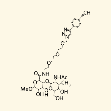 C#Cc1ccc(-c2cn(COCCOCCOCCNC(=O)C3OC(OC)C(O)C(O)C3OC3OC(CO)C(O)C(C)C3NC(C)=O)nn2)cc1